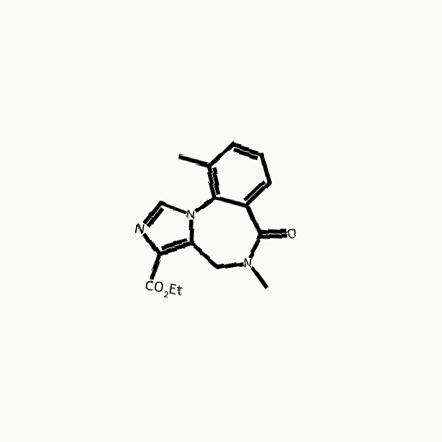 CCOC(=O)c1ncn2c1CN(C)C(=O)c1cccc(C)c1-2